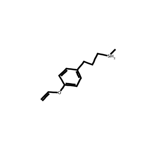 C=COc1ccc(CCC[SiH2]C)cc1